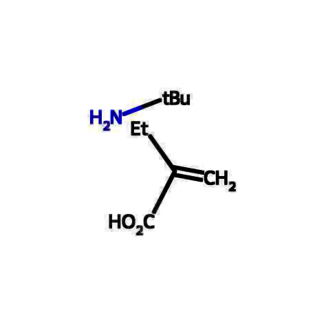 C=C(CC)C(=O)O.CC(C)(C)N